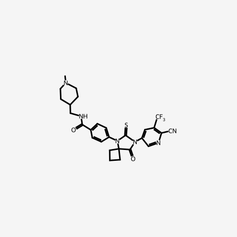 CN1CCC(CNC(=O)c2ccc(N3C(=S)N(c4cnc(C#N)c(C(F)(F)F)c4)C(=O)C34CCC4)cc2)CC1